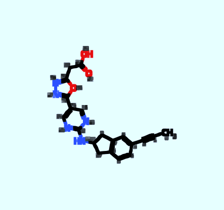 CC#Cc1ccc2c(c1)CC(Nc1ncc(-c3nnc(CC(=O)O)o3)cn1)C2